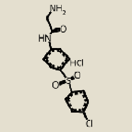 Cl.NCC(=O)Nc1ccc(S(=O)(=O)c2ccc(Cl)cc2)cc1